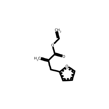 C=COC(=O)C(=C)Cc1ccco1